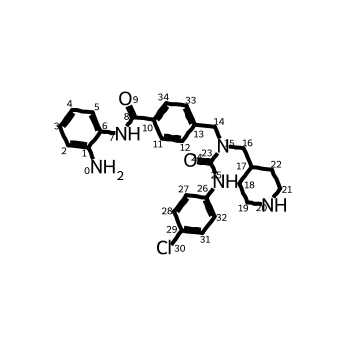 Nc1ccccc1NC(=O)c1ccc(CN(CC2CCNCC2)C(=O)Nc2ccc(Cl)cc2)cc1